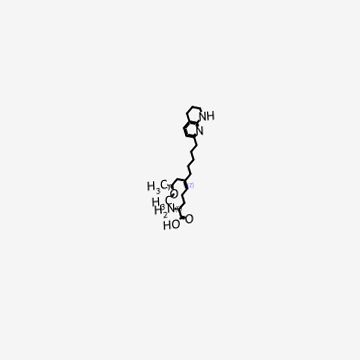 CO[C@H](C)C/C(=C\CC[C@H](N)C(=O)O)CCCCCc1ccc2c(n1)NCCC2